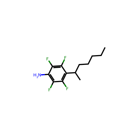 CCCCCC(C)c1c(F)c(F)c(N)c(F)c1F